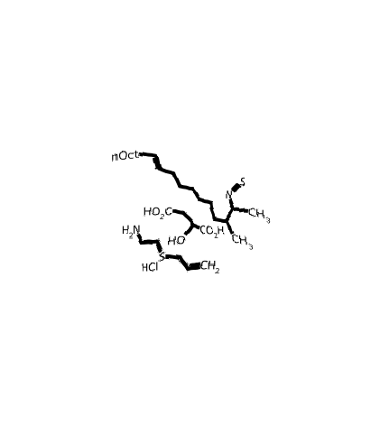 C=CCSCCN.CCCCCCCCC=CCCCCCCC(C)C(C)N=S.Cl.O=C(O)CC(O)C(=O)O